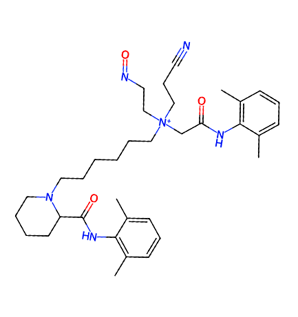 Cc1cccc(C)c1NC(=O)C[N+](CCC#N)(CCCCCCN1CCCCC1C(=O)Nc1c(C)cccc1C)CCN=O